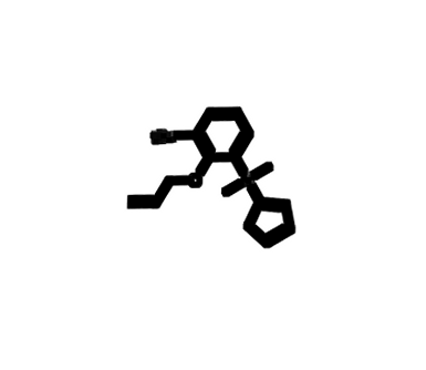 C=CCOc1c(C(C)(C)C)cccc1[Si](C)(C)C1=CC=CC1